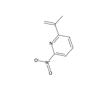 C=C(C)c1cccc([N+](=O)[O-])n1